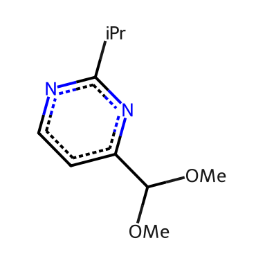 COC(OC)c1ccnc(C(C)C)n1